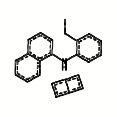 CCc1ccccc1Nc1cccc2ccccc12.c1cc2ccc1-2